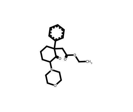 CCOC(=O)CC1(c2ccccc2)CCCC(N2CCOCC2)C1=O